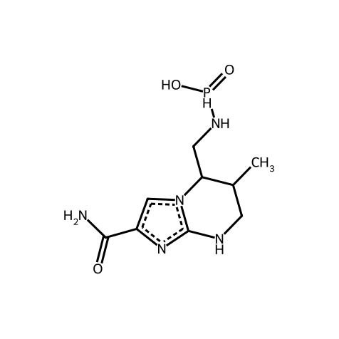 CC1CNc2nc(C(N)=O)cn2C1CN[PH](=O)O